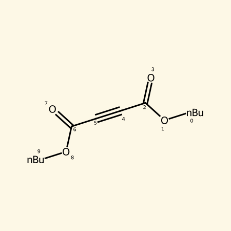 CCCCOC(=O)C#CC(=O)OCCCC